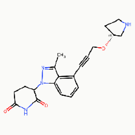 Cc1nn(C2CCC(=O)NC2=O)c2cccc(C#CCO[C@@H]3CCNC3)c12